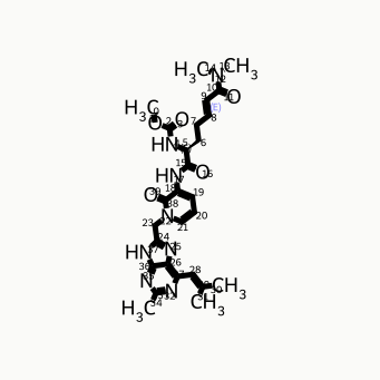 COC(=O)N[C@@H](CC/C=C/C(=O)N(C)C)C(=O)Nc1cccn(Cc2nc3c(C=C(C)C)nc(C)nc3[nH]2)c1=O